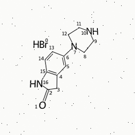 Br.O=C1Cc2cc(N3CCNCC3)ccc2N1